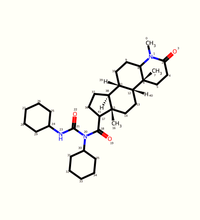 CN1C(=O)CC[C@@]2(C)C1CC[C@@H]1[C@H]2CC[C@]2(C)C(C(=O)N(C(=O)NC3CCCCC3)C3CCCCC3)CC[C@@H]12